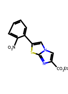 CCOC(=O)c1cn2cc(-c3ccccc3[N+](=O)[O-])sc2n1